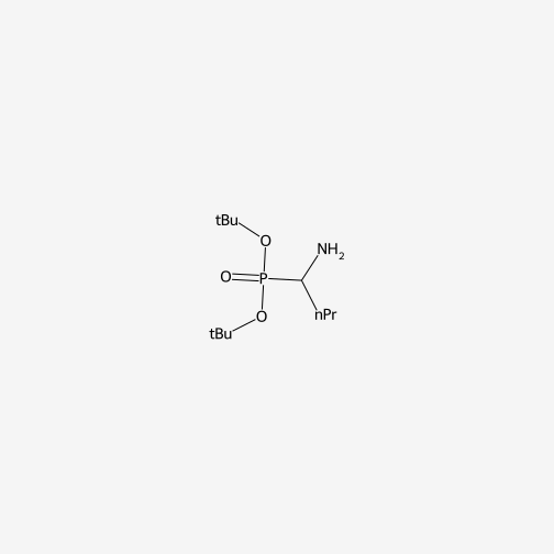 CCCC(N)P(=O)(OC(C)(C)C)OC(C)(C)C